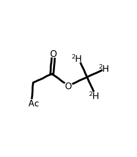 [2H]C([2H])([2H])OC(=O)CC(C)=O